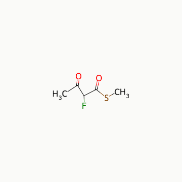 CSC(=O)C(F)C(C)=O